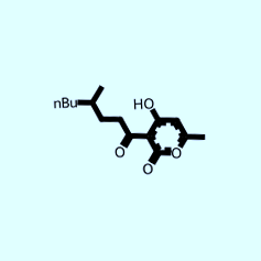 CCCCC(C)CCC(=O)c1c(O)cc(C)oc1=O